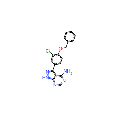 Nc1ncnc2[nH]nc(-c3ccc(OCc4ccccc4)c(Cl)c3)c12